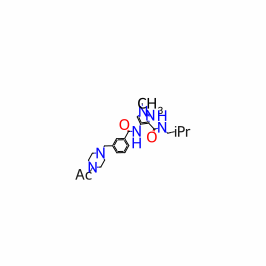 CC(=O)N1CCN(Cc2cccc(C(=O)Nc3cn(C)nc3C(=O)NCC(C)C)c2)CC1